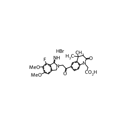 Br.COc1cc2c(c(F)c1OC)C(=N)N(CC(=O)c1ccc3c(c1)C(C)(C)CC(=O)N3CC(=O)O)C2